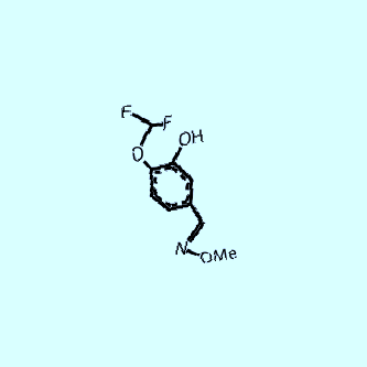 CON=Cc1ccc(OC(F)F)c(O)c1